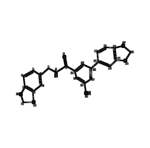 O=C(NCc1ccc2c(c1)OCO2)c1cc(O)cc(-c2ccc3c(c2)OCO3)c1